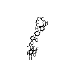 C[C@@H](COC1CCN(C2CCN(C3CCC(C#N)C4(CCCCCCCCCC4)N3)CC2)C1=O)Oc1cn[nH]c(=O)c1C(F)(F)F